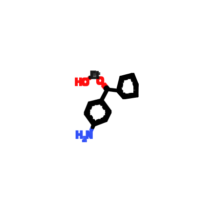 CCO.Nc1ccc(C(=O)c2ccccc2)cc1